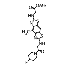 COC(=O)CNc1nc2c(C)c3nc(NCC(=O)N4CCC(F)CC4)sc3cc2s1